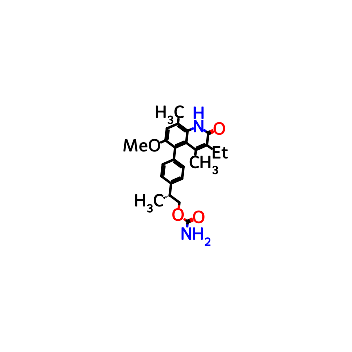 CCc1c(C)c2c(-c3ccc([C@@H](C)COC(N)=O)cc3)c(OC)cc(C)c2[nH]c1=O